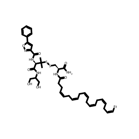 CC/C=C\C/C=C\C/C=C\C/C=C\C/C=C\C/C=C\CCC(=O)N[C@@H](CSSC(C)(C)[C@H](NC(=O)c1cc(-c2ccccc2)on1)C(=O)NC(CO)CO)C(N)=O